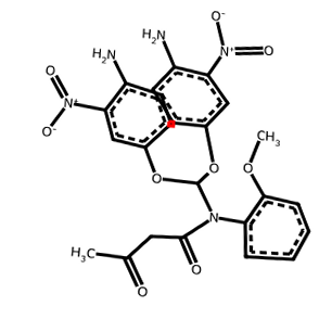 COc1ccccc1N(C(=O)CC(C)=O)C(Oc1ccc(N)c([N+](=O)[O-])c1)Oc1ccc(N)c([N+](=O)[O-])c1